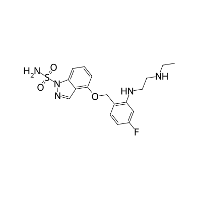 CCNCCNc1cc(F)ccc1COc1cccc2c1cnn2S(N)(=O)=O